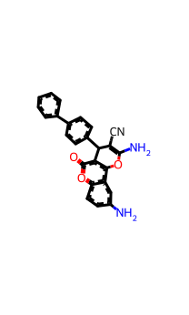 N#CC1=C(N)Oc2c(c(=O)oc3ccc(N)cc23)C1c1ccc(-c2ccccc2)cc1